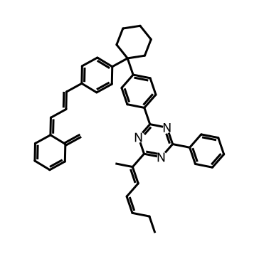 C=c1cccc/c1=C/C=C/c1ccc(C2(c3ccc(-c4nc(/C(C)=C/C=C\CC)nc(-c5ccccc5)n4)cc3)CCCCC2)cc1